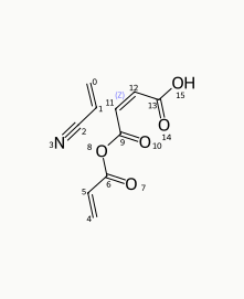 C=CC#N.C=CC(=O)OC(=O)/C=C\C(=O)O